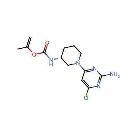 C=C(C)OC(=O)N[C@@H]1CCCN(c2cc(Cl)nc(N)n2)C1